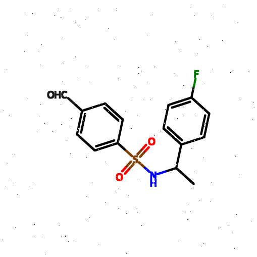 CC(NS(=O)(=O)c1ccc(C=O)cc1)c1ccc(F)cc1